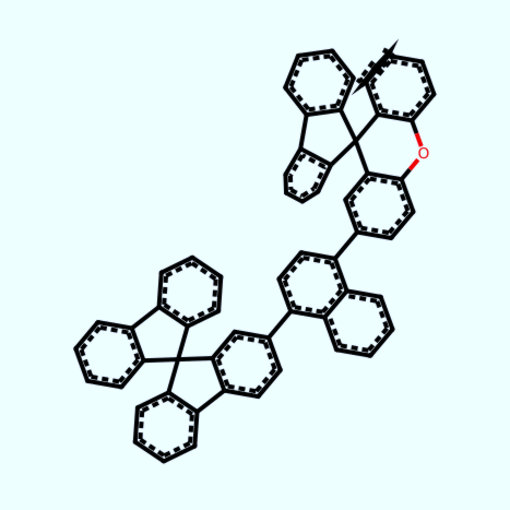 c1ccc2c(c1)-c1ccccc1C21c2ccccc2-c2ccc(-c3ccc(-c4ccc5c(c4)C4(c6ccccc6-c6ccccc64)c4c(ccc6ccccc46)O5)c4ccccc34)cc21